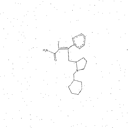 CC(C(N)=O)=C(CC1CCCN1CC1CCCCC1)c1ccccc1